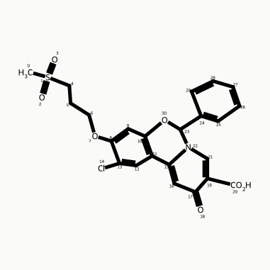 CS(=O)(=O)CCCOc1cc2c(cc1Cl)-c1cc(=O)c(C(=O)O)cn1C(c1ccccc1)O2